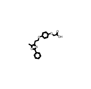 Cc1oc(-c2ccccc2)nc1CCOc1ccc(OCC(=O)O)cc1